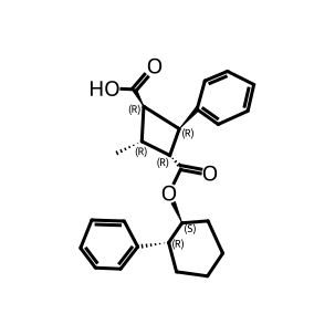 C[C@@H]1[C@@H](C(=O)O)[C@@H](c2ccccc2)[C@@H]1C(=O)O[C@H]1CCCC[C@@H]1c1ccccc1